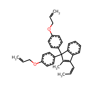 C=CCOc1ccc(C2(c3ccc(OCC=C)cc3)C(C)=C(/C=C\C)c3ccccc32)cc1